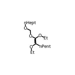 CCCCCCCOCO/C(OCC)=C(/CCCCC)OCC